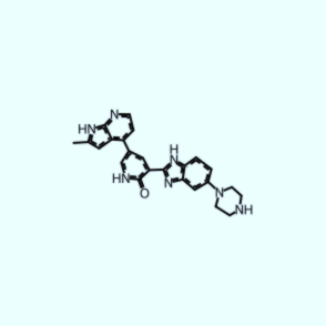 Cc1cc2c(-c3c[nH]c(=O)c(-c4nc5cc(N6CCNCC6)ccc5[nH]4)c3)ccnc2[nH]1